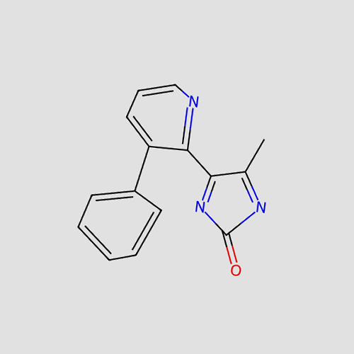 CC1=NC(=O)N=C1c1ncccc1-c1ccccc1